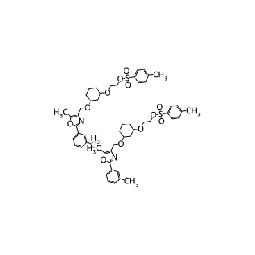 Cc1ccc(S(=O)(=O)OCCOC2CCCC(OCc3nc(-c4cccc(C)c4)oc3C)C2)cc1.Cc1ccc(S(=O)(=O)OCCOC2CCCC(OCc3nc(-c4cccc(C)c4)oc3C)C2)cc1